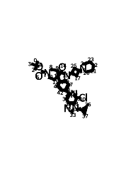 CC(C)(C)OC(=O)N1CCC2(CC1)C(=O)N(C1CC(N3CCCCC3)C1)c1cc(-c3cc4ncn(C5CC5)c4c(Cl)n3)ccc12